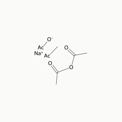 CC(=O)OC(C)=O.CC(=O)[O-].CC(C)=O.[Na+]